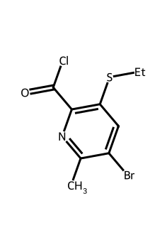 CCSc1cc(Br)c(C)nc1C(=O)Cl